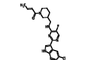 CC=CC(=O)N1CCCC(CNc2nc(-c3c[nH]c4ncc(Cl)cc34)ncc2F)C1